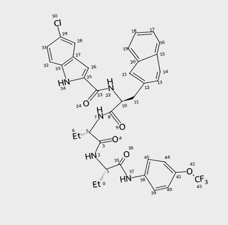 CC[C@H](NC(=O)[C@H](CC)NC(=O)[C@H](Cc1ccc2ccccc2c1)NC(=O)c1cc2cc(Cl)ccc2[nH]1)C(=O)Nc1ccc(OC(F)(F)F)cc1